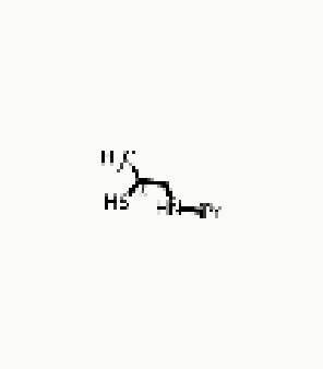 CC(C)NC[C@H](C)S